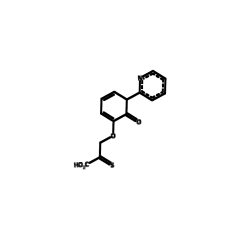 O=C(O)C(=S)COC1=CC=CC(c2ccccn2)C1=O